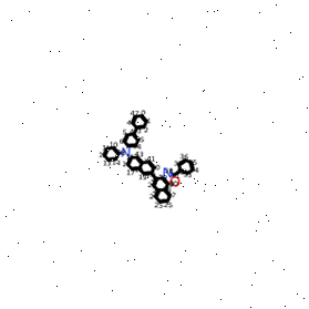 c1ccc(-c2ccc(N(c3ccccc3)c3ccc4cc(-c5cc6ccccc6c6oc(-c7ccccc7)nc56)ccc4c3)cc2)cc1